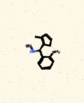 CC1=C(C(NC(C)(C)C)c2ccccc2[SiH3])CC=C1